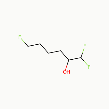 OC(CCCCF)C(F)F